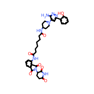 Nc1nnc(-c2ccccc2O)cc1N1CCC(NC(=O)CCCCCCC(=O)Nc2cccc3c2C(=O)N(C2CCC(=O)NC2=O)C3=O)CC1